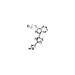 CCc1nn(-c2noc(C3CNC3)n2)c2ccccc12